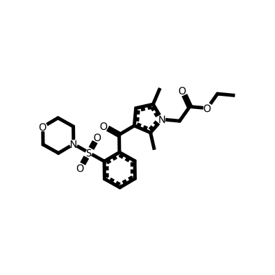 CCOC(=O)Cn1c(C)cc(C(=O)c2ccccc2S(=O)(=O)N2CCOCC2)c1C